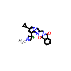 CN1CC(F)(c2cc(C3CC3)cn3cc(CN4C(=O)c5ccccc5C4=O)nc23)C1